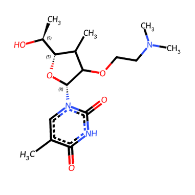 Cc1cn([C@@H]2O[C@H]([C@H](C)O)C(C)C2OCCN(C)C)c(=O)[nH]c1=O